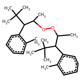 Cc1ccccc1C(C(C)OOC(C)C(c1ccccc1C)C(C)(C)C)C(C)(C)C